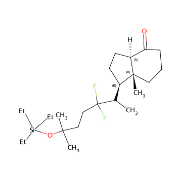 CC[Si](CC)(CC)OC(C)(C)CCC(F)(F)C(C)[C@H]1CC[C@H]2C(=O)CCC[C@]12C